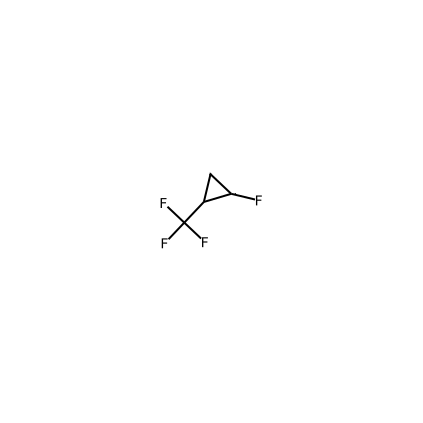 F[C]1CC1C(F)(F)F